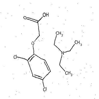 CCN(CC)CC.O=C(O)COc1ccc(Cl)cc1Cl